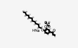 C=CC(=O)c1ccc(OCCCCCCCCCCCC)c(OS(C)(=O)=O)c1.[NaH]